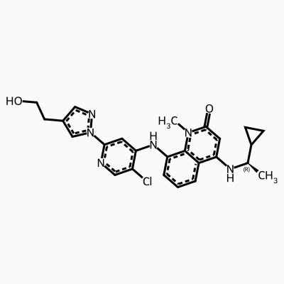 C[C@@H](Nc1cc(=O)n(C)c2c(Nc3cc(-n4cc(CCO)cn4)ncc3Cl)cccc12)C1CC1